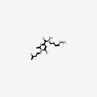 C=C(F)C/C=N/N1C(=C)N=C(C(=O)N(CCC)CC/C=C\SN)C=C1CC